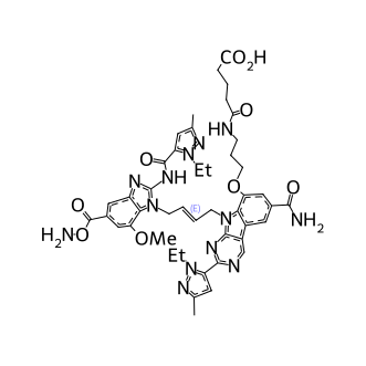 CCn1nc(C)cc1C(=O)Nc1nc2cc(C(=O)ON)cc(OC)c2n1C/C=C/Cn1c2nc(-c3cc(C)nn3CC)ncc2c2cc(C(N)=O)cc(OCCCNC(=O)CCCC(=O)O)c21